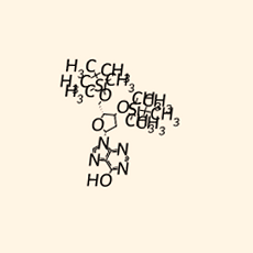 CC(C)(C)[Si](C)(C)OC[C@H]1O[C@@H](n2cnc3c(O)ncnc32)C[C@@H]1O[Si](C)(C)C(C)(C)C